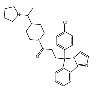 CC(C1CCN(C(=O)CCC2(c3ccc(Cl)cc3)c3ccccc3-c3nccn32)CC1)N1CCCC1